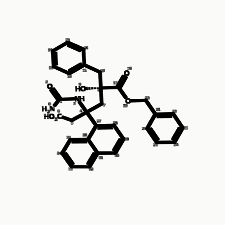 NC(=O)NC(CC(=O)O)(C[C@@](O)(Cc1ccccc1)C(=O)OCc1ccccc1)c1cccc2ccccc12